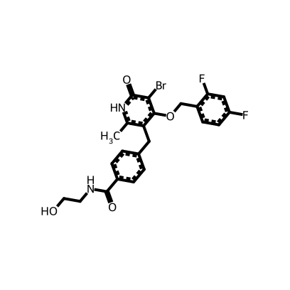 Cc1[nH]c(=O)c(Br)c(OCc2ccc(F)cc2F)c1Cc1ccc(C(=O)NCCO)cc1